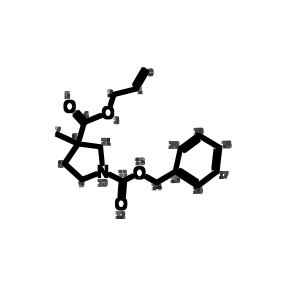 C=CCOC(=O)C1(C)CCN(C(=O)OCc2ccccc2)C1